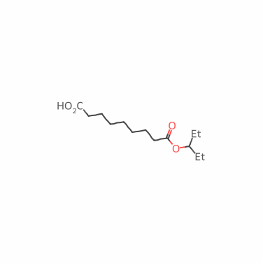 CCC(CC)OC(=O)CCCCCCCC(=O)O